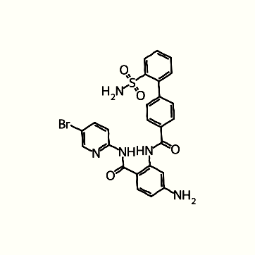 Nc1ccc(C(=O)Nc2ccc(Br)cn2)c(NC(=O)c2ccc(-c3ccccc3S(N)(=O)=O)cc2)c1